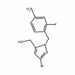 Nc1ccc(Cn2nc(Br)cc2CO)c(F)c1